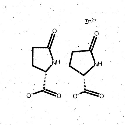 O=C1CC[C@@H](C(=O)[O-])N1.O=C1CC[C@@H](C(=O)[O-])N1.[Zn+2]